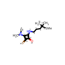 CCN(C)c1c(NCCCC(C)(C)SC)c(=O)c1=S